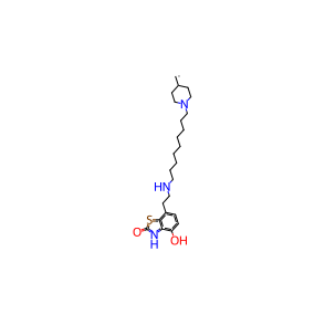 [CH2]C1CCN(CCCCCCCCCNCCc2ccc(O)c3[nH]c(=O)sc23)CC1